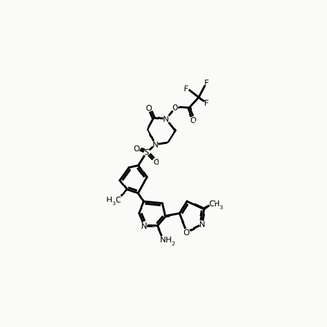 Cc1cc(-c2cc(-c3cc(S(=O)(=O)N4CCN(OC(=O)C(F)(F)F)C(=O)C4)ccc3C)cnc2N)on1